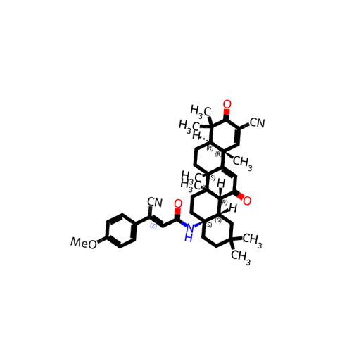 COc1ccc(/C(C#N)=C/C(=O)N[C@]23CCC(C)(C)C[C@H]2[C@H]2C(=O)C=C4[C@@]5(C)C=C(C#N)C(=O)C(C)(C)[C@@H]5CC[C@@]4(C)[C@]2(C)CC3)cc1